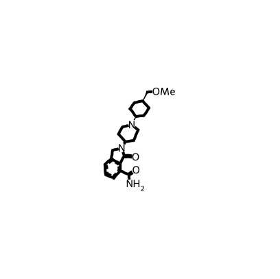 COC[C@H]1CC[C@H](N2CCC(N3Cc4cccc(C(N)=O)c4C3=O)CC2)CC1